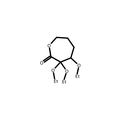 CCOC1CCCOC(=O)C1(OCC)OCC